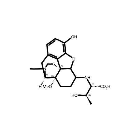 CO[C@@]12CCC(N[C@H](C(=O)O)[C@@H](C)O)C3Oc4c(O)ccc5c4[C@@]31CCN(C)[C@@H]2C5